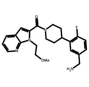 COCCn1c(C(=O)N2CCC(c3cc(CN)ccc3F)CC2)cc2cccnc21